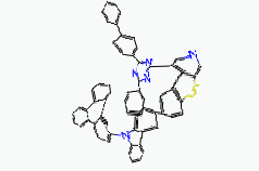 c1ccc(-c2ccc(-c3nc(-c4ccccc4)nc(-c4cncc5sc6ccc(-c7ccc8c(c7)c7ccccc7n8-c7ccc8c9ccccc9c9ccccc9c8c7)cc6c45)n3)cc2)cc1